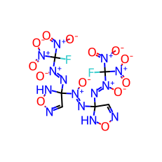 O=[N+]([O-])C(F)([N+](=O)[O-])[N+]([O-])=NC1(N=[N+]([O-])C2(N=[N+]([O-])C(F)([N+](=O)[O-])[N+](=O)[O-])C=NON2)C=NON1